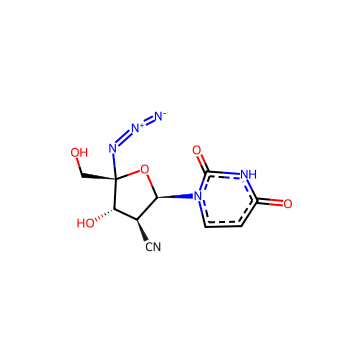 N#C[C@@H]1[C@H](n2ccc(=O)[nH]c2=O)O[C@@](CO)(N=[N+]=[N-])[C@H]1O